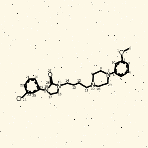 COc1cccc(N2CCN(CCCCN3CCN(c4cccc(Cl)c4)C3=O)CC2)c1